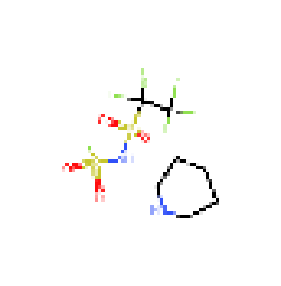 C1CCNCC1.O=S(=O)(F)NS(=O)(=O)C(F)(F)C(F)(F)F